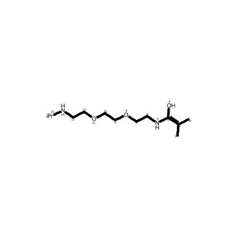 CC(C)=C(O)NCCOCCOCCNC(C)C